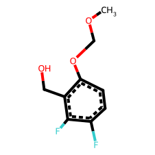 COCOc1ccc(F)c(F)c1CO